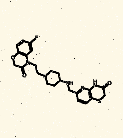 O=C1CSc2ccc(CNC3CCN(CCN4C(=O)COc5ccc(F)cc54)CC3)nc2N1